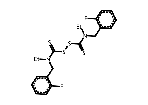 CCN(Cc1ccccc1F)C(=S)SSC(=S)N(CC)Cc1ccccc1F